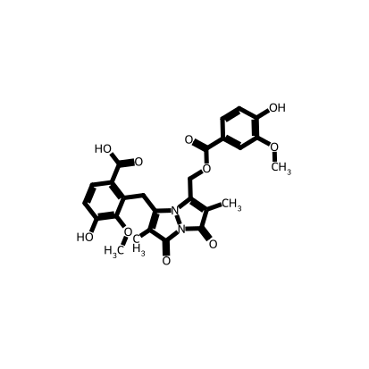 COc1cc(C(=O)OCc2c(C)c(=O)n3c(=O)c(C)c(Cc4c(C(=O)O)ccc(O)c4OC)n23)ccc1O